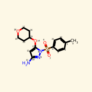 Cc1ccc(S(=O)(=O)n2nc(N)cc2OC2CCOCC2)cc1